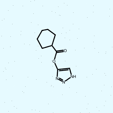 O=C(Oc1c[nH]nn1)C1CCCCC1